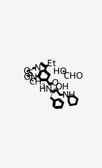 CCc1cn2c3c(cc(C(=O)N[C@@H](Cc4ccccc4)[C@H](O)CNC4CCCCC4)cc13)N(C)S(=O)(=O)C2.O=CO